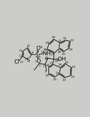 CCC(C)[C@H](NS(=O)(=O)c1ccc(Cl)s1)C(O)(c1cccc2ccccc12)c1cccc2ccccc12